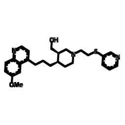 COc1ccc2nccc(CCC[C@@H]3CCN(CCSc4cccnc4)C[C@@H]3CO)c2c1